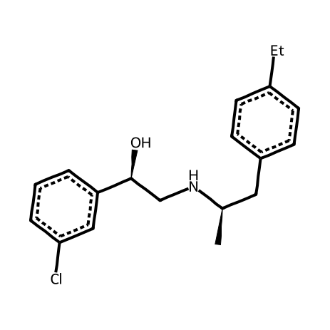 CCc1ccc(C[C@@H](C)NC[C@H](O)c2cccc(Cl)c2)cc1